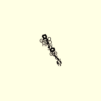 CN1CCN(CCCCS(=O)(=O)c2ccc3nc(NC(=O)NC(=O)c4ccccc4Cl)sc3c2)CC1